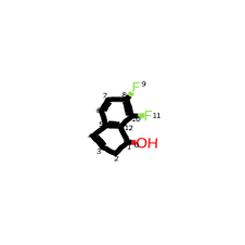 OC1CC=Cc2ccc(F)c(F)c21